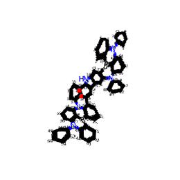 c1ccc(N2c3ccccc3B3c4cc5[nH]c6ccc(-c7cccc8c7N(c7ccccc7)c7cccc9c7B8c7ccccc7N9c7ccccc7)cc6c5cc4N(c4ccccc4)c4cccc2c43)cc1